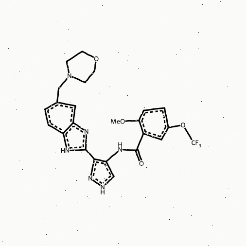 COc1ccc(OC(F)(F)F)cc1C(=O)Nc1c[nH]nc1-c1nc2cc(CN3CCOCC3)ccc2[nH]1